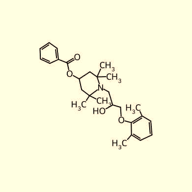 Cc1cccc(C)c1OCC(O)CN1C(C)(C)CC(OC(=O)c2ccccc2)CC1(C)C